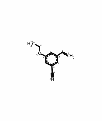 C=Cc1cc(C#N)cc(OCC)c1